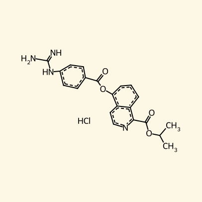 CC(C)OC(=O)c1nccc2c(OC(=O)c3ccc(NC(=N)N)cc3)cccc12.Cl